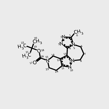 Cc1nnc2n1CCCn1nc3c(c1-2)CN(C(=O)OC(C)(C)C)CC3